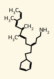 C=C(/C=C(C)\C=C/C)/C(C)=C/C/C(=C\CCN)CCC1C=CC=CC1